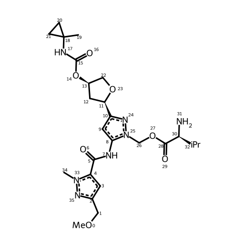 COCc1cc(C(=O)Nc2cc([C@H]3C[C@@H](OC(=O)NC4(C)CC4)CO3)nn2COC(=O)[C@@H](N)C(C)C)n(C)n1